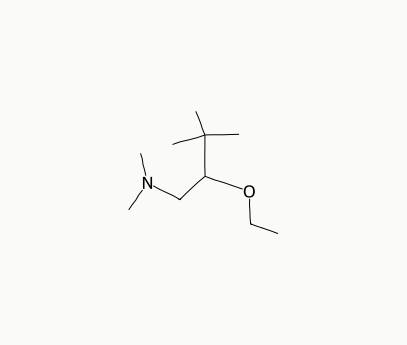 CCOC(CN(C)C)C(C)(C)C